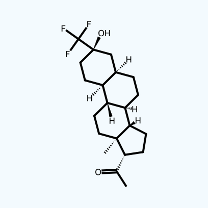 CC(=O)[C@H]1CC[C@H]2[C@@H]3CC[C@@H]4C[C@@](O)(C(F)(F)F)CC[C@@H]4[C@H]3CC[C@]12C